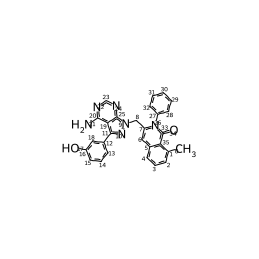 Cc1cccc2cc(Cn3nc(-c4cccc(O)c4)c4c(N)ncnc43)n(-c3ccccc3)c(=O)c12